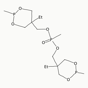 CCC1(COP(C)(=O)OCC2(CC)COP(C)OC2)COP(C)OC1